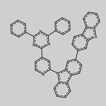 c1ccc(-c2nc(-c3ccccc3)nc(-c3ccnc(-n4c5ccccc5c5ccc(-c6ccc7c(c6)sc6ccccc67)cc54)c3)n2)cc1